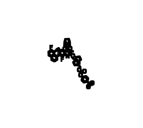 C#Cc1c(F)ccc2cccc(-c3ncc4c(N5CC6CCC(C5)N6C(=O)OC(C)(C)C)nc(OC[C@]56CCCN5[C@@H](COC(=O)Oc5ccc([N+](=O)[O-])cc5)CC6)nc4c3F)c12